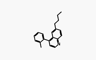 CCCCc1ccc2nccc(-c3ccccc3C)c2c1